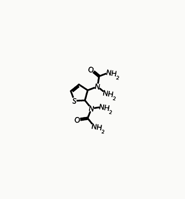 NC(=O)N(N)C1C=CSC1N(N)C(N)=O